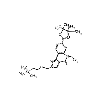 CC1(C)OB(c2ccc3c4nn(COCC[Si](C)(C)C)cc4c(=O)n(CC(F)(F)F)c3c2)OC1(C)C